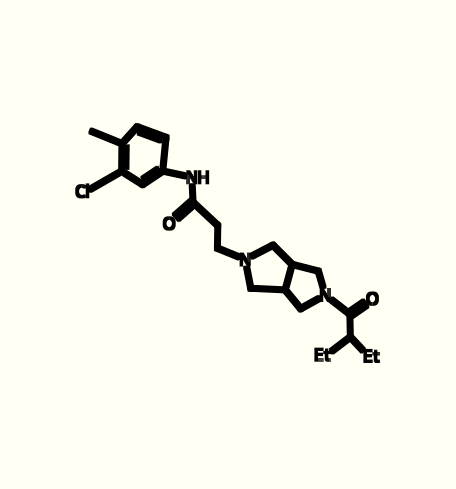 CCC(CC)C(=O)N1CC2CN(CCC(=O)Nc3ccc(C)c(Cl)c3)CC2C1